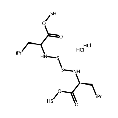 CC(C)C[C@H](NSSN[C@@H](CC(C)C)C(=O)OS)C(=O)OS.Cl.Cl